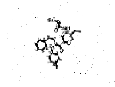 CC=C1CO[C@H](C(=O)N2CCc3ccccc3[C@@H]2c2ccc(F)cc2)C[C@@H]1NC(=O)OC(C)(C)C